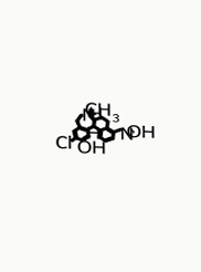 CN1CCc2cc(Cl)c(O)cc2[C@H]2c3cccc(/C=N/O)c3CC[C@@H]21